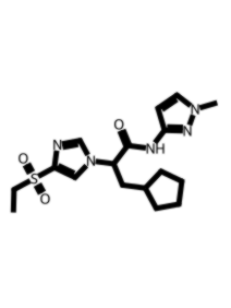 CCS(=O)(=O)c1cn(C(CC2CCCC2)C(=O)Nc2ccn(C)n2)cn1